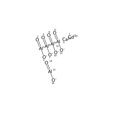 [Ca+2].[Gd+3].[O]=[Al][O-].[O]=[Al][O-].[O]=[Al][O-].[O]=[Al][O-].[O]=[Al][O-]